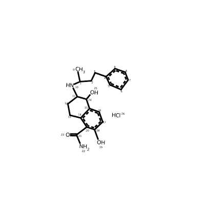 CC(CCc1ccccc1)NC1CCc2c(ccc(O)c2C(N)=O)C1O.Cl